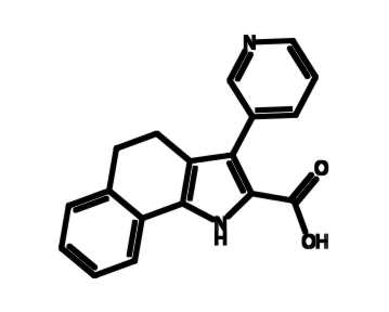 O=C(O)c1[nH]c2c(c1-c1cccnc1)CCc1ccccc1-2